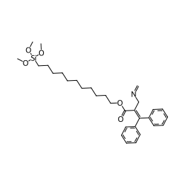 C=NCC(C(=O)OCCCCCCCCCCC[Si](OC)(OC)OC)=C(c1ccccc1)c1ccccc1